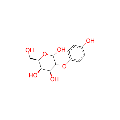 OC[C@H]1O[C@H](O)[C@H](Oc2ccc(O)cc2)[C@@H](O)[C@H]1O